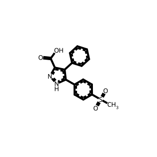 CS(=O)(=O)c1ccc(-c2[nH]nc(C(=O)O)c2-c2ccccc2)cc1